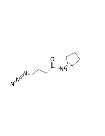 [N-]=[N+]=NCCCC(=O)NC1=CCCC1